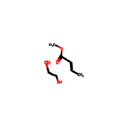 CC=CC(=O)OC.OCCO